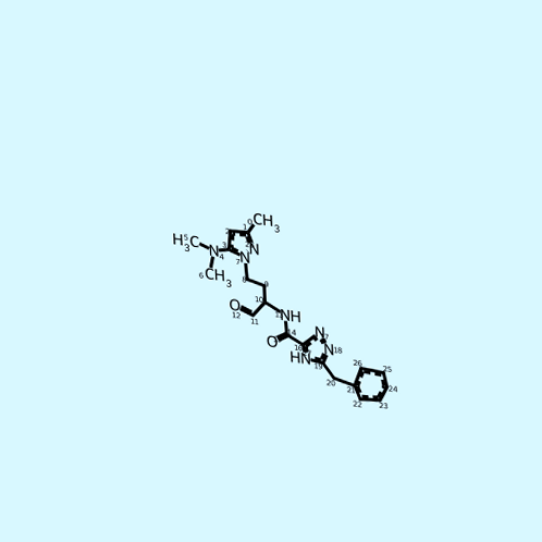 Cc1cc(N(C)C)n(CCC(C=O)NC(=O)c2nnc(Cc3ccccc3)[nH]2)n1